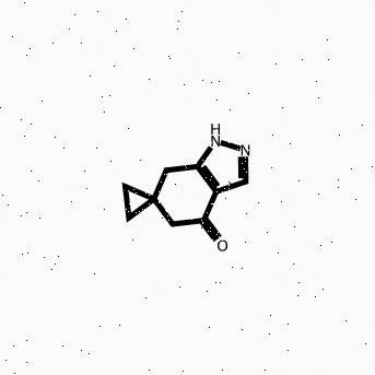 O=C1CC2(CC2)Cc2[nH]ncc21